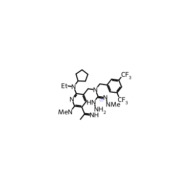 CCN(c1nc(NC)c(C(C)=N)cc1CN(Cc1cc(C(F)(F)F)cc(C(F)(F)F)c1)/C(=N/NC)NN)C1CCCC1